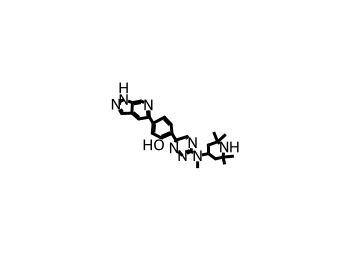 CN(c1ncc(-c2ccc(-c3cc4cn[nH]c4cn3)cc2O)nn1)C1CC(C)(C)NC(C)(C)C1